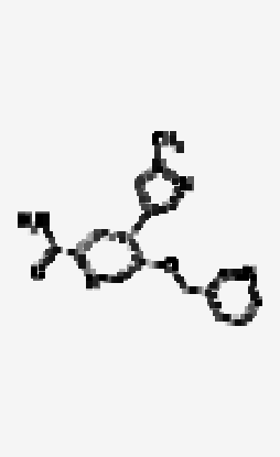 Cn1cc(-c2cc(C(N)=O)ncc2OCc2cccnc2)cn1